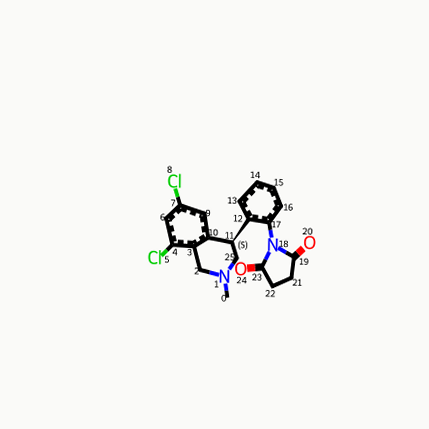 CN1Cc2c(Cl)cc(Cl)cc2[C@@H](c2ccccc2N2C(=O)CCC2=O)C1